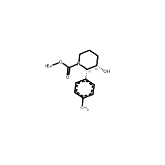 Cc1ccc([C@H]2[C@@H](O)CCCN2C(=O)OC(C)(C)C)cc1